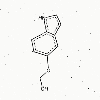 OCOc1ccc2[nH]ccc2c1